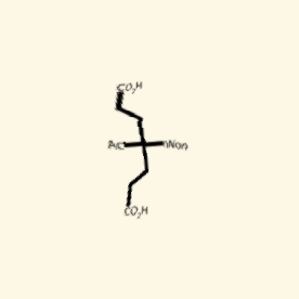 CCCCCCCCCC(CCC(=O)O)(CCC(=O)O)C(C)=O